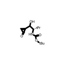 CC(C)[C@H](NC(=O)OC(C)(C)C)C(O)c1cc1=O